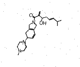 C=C(C(=O)N1CC2=C(CC(N3CCN(C)CC3)C=C2)C1)C(O)C/C=C/C(C)C